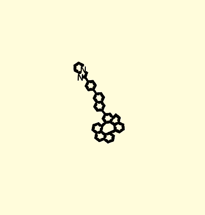 c1cc2ccc3cccc4c5cc(-c6ccc7cc(-c8ccc(-c9cn%10ccccc%10n9)cc8)ccc7c6)cc6ccc7cccc(c(c1)c2c34)c7c65